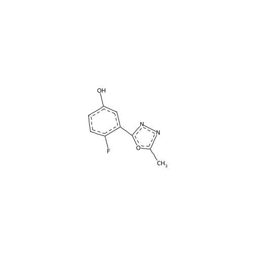 Cc1nnc(-c2cc(O)ccc2F)o1